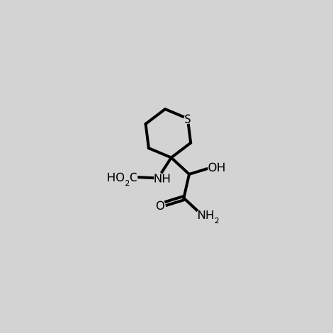 NC(=O)C(O)C1(NC(=O)O)CCCSC1